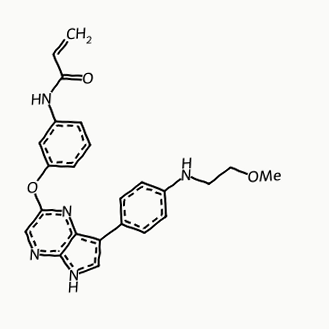 C=CC(=O)Nc1cccc(Oc2cnc3[nH]cc(-c4ccc(NCCOC)cc4)c3n2)c1